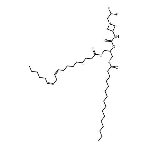 CCCCC/C=C\C/C=C\CCCCCCCC(=O)OCC(COC(=O)CCCCCCCCCCCCCCC)OC(=O)NC1CN(CC(F)F)C1